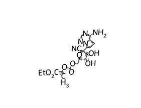 CCOC(=O)[C@H](C)OC(=O)OC[C@H]1O[C@@](C#N)(c2ccc3c(N)ncnn23)[C@H](O)[C@@H]1O